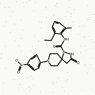 CCc1cccc(C)c1NC(=O)N1NC(=O)CC12CCN(c1ccc([N+](=O)[O-])cc1)CC2